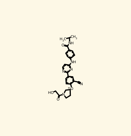 CC(C)NC(=O)c1ccc(Nc2ccnc(-c3ccc(O[C@@H]4CCN(C(=O)CO)C4)c(C#N)c3)n2)cc1